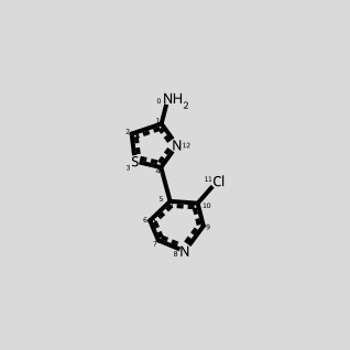 Nc1csc(-c2ccncc2Cl)n1